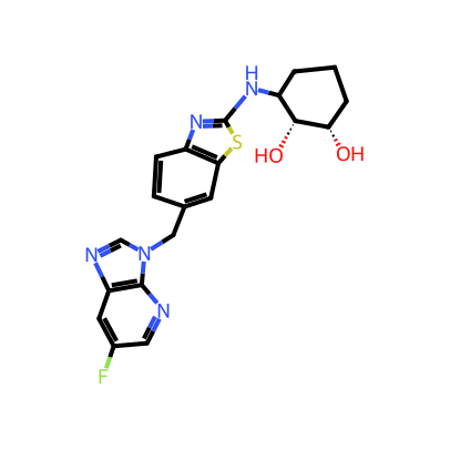 O[C@@H]1C(Nc2nc3ccc(Cn4cnc5cc(F)cnc54)cc3s2)CCC[C@@H]1O